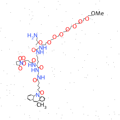 COCCOCCOCCOCCOCCOCCOCCOCCC(=O)N[C@@H](CCCCN)C(=O)NCCCC[C@H](NC(=O)CCC(=O)ON1C(=O)CCC1=O)C(=O)NCCNC(=O)CCCCC(=O)N1CC2C=CC=CC2/C=C(/C)c2ccccc21